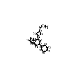 OCC1CN(c2cc(-c3ccccc3)nc3ccnn23)C1